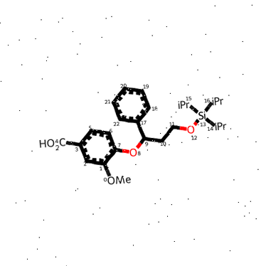 COc1cc(C(=O)O)ccc1OC(CCO[Si](C(C)C)(C(C)C)C(C)C)c1ccccc1